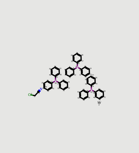 N#CCCl.[W].c1ccc(P(c2ccccc2)c2ccccc2)cc1.c1ccc(P(c2ccccc2)c2ccccc2)cc1.c1ccc(P(c2ccccc2)c2ccccc2)cc1